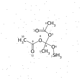 CC(=O)OC(C)(O[SiH3])OC(C)=O